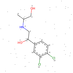 CC(CO)NCC(O)c1ccc(Cl)c(Cl)c1